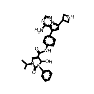 CC(C)N1C=C(C(=O)Nc2ccc(-c3cc(C4CNC4)n4ncnc(N)c34)cc2)C(O)N(c2ccccc2)C1=O